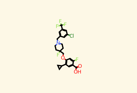 O=C(O)c1cc(C2CC2)c(OCC2(F)CCN(Cc3cc(Cl)cc(C(F)(F)F)c3)CC2)cc1F